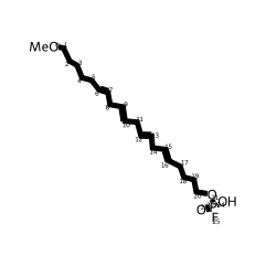 COCCCCCC=CCC=CCC=CCC=CCCCCOP(=O)(O)F